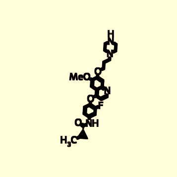 COc1cc2c(Oc3ccc(NC(=O)[C@@H]4CC4C)cc3F)ccnc2cc1OCCCN1CCNCC1